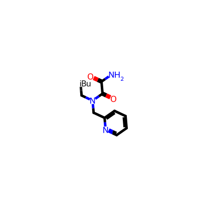 CCC(C)CN(Cc1ccccn1)C(=O)C(N)=O